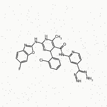 CC1=C(C(=O)Nc2cc(/C(N=N)=N/N)ccn2)C(c2ccccc2Cl)N=C(Nc2nc3ccc(F)cc3o2)N1